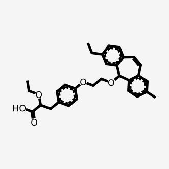 CCOC(Cc1ccc(OCCOC2c3ccc(C)cc3C=Cc3ccc(CC)cc32)cc1)C(=O)O